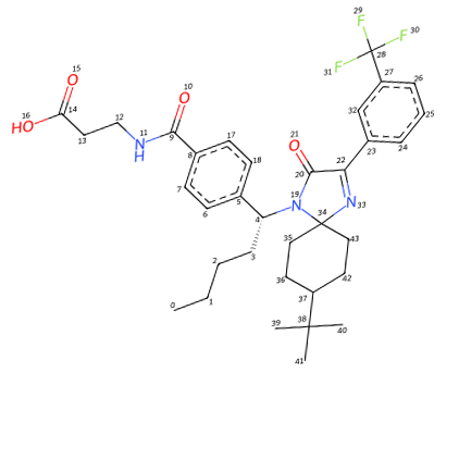 CCCC[C@H](c1ccc(C(=O)NCCC(=O)O)cc1)N1C(=O)C(c2cccc(C(F)(F)F)c2)=NC12CCC(C(C)(C)C)CC2